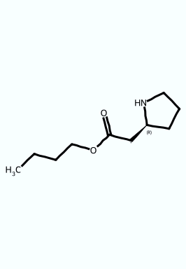 CCCCOC(=O)[CH][C@@H]1CCCN1